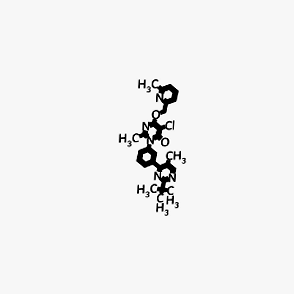 Cc1cccc(COc2nc(C)n(-c3cccc(-c4nc(C(C)(C)C)ncc4C)c3)c(=O)c2Cl)n1